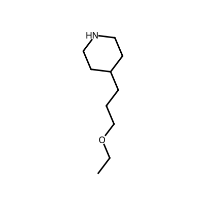 CCOCCCC1CCNCC1